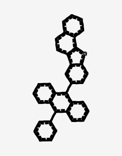 c1ccc(-c2c3ccccc3c(-c3ccc4oc5c6ccccc6ccc5c4c3)c3ccccc23)cc1